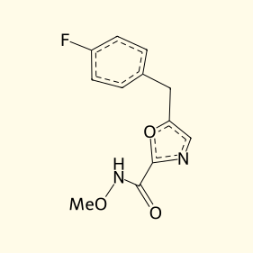 CONC(=O)c1ncc(Cc2ccc(F)cc2)o1